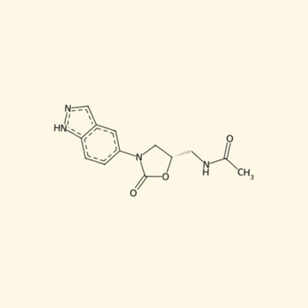 CC(=O)NC[C@H]1CN(c2ccc3[nH]ncc3c2)C(=O)O1